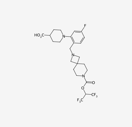 O=C(O)C1CCN(c2cc(F)ccc2CN2CC3(CCN(C(=O)OC(C(F)(F)F)C(F)(F)F)CC3)C2)CC1